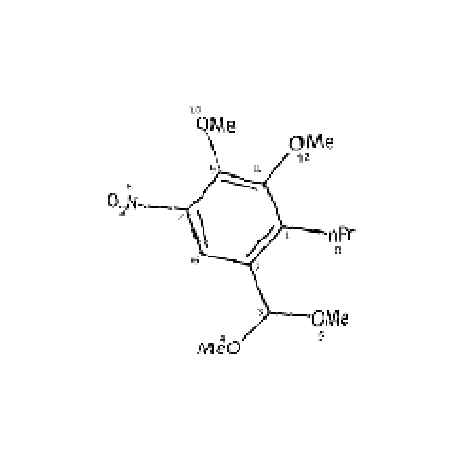 CCCc1c(C(OC)OC)cc([N+](=O)[O-])c(OC)c1OC